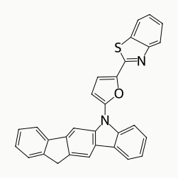 c1ccc2c(c1)Cc1cc3c4ccccc4n(-c4ccc(-c5nc6ccccc6s5)o4)c3cc1-2